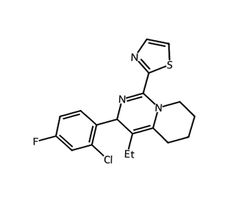 CCC1=C2CCCCN2C(c2nccs2)=NC1c1ccc(F)cc1Cl